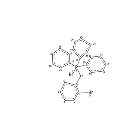 Brc1ccccc1CP(Br)(c1ccccc1)(c1ccccc1)c1ccccc1